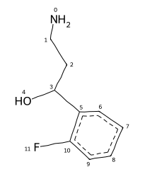 NCCC(O)c1ccccc1F